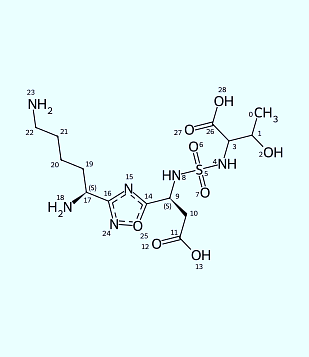 CC(O)C(NS(=O)(=O)N[C@@H](CC(=O)O)c1nc([C@@H](N)CCCCN)no1)C(=O)O